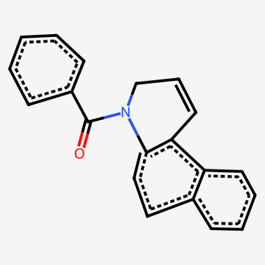 O=C(c1ccccc1)N1CC=Cc2c1ccc1ccccc21